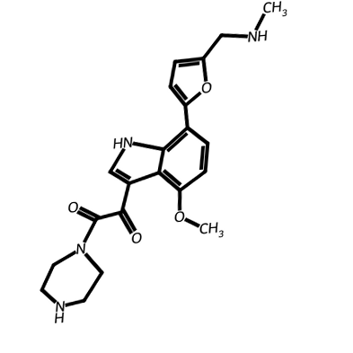 CNCc1ccc(-c2ccc(OC)c3c(C(=O)C(=O)N4CCNCC4)c[nH]c23)o1